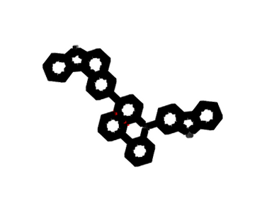 c1ccc(-c2ccccc2N(c2ccc(-c3ccc4c(ccc5sc6ccccc6c54)c3)cc2)c2ccc3c(c2)oc2ccccc23)cc1